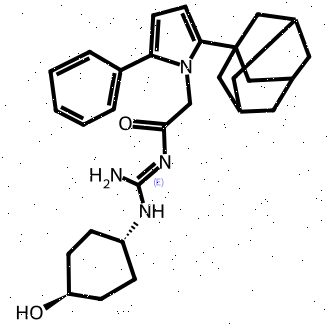 N/C(=N\C(=O)Cn1c(-c2ccccc2)ccc1C12CC3CC(CC(C3)C1)C2)N[C@H]1CC[C@H](O)CC1